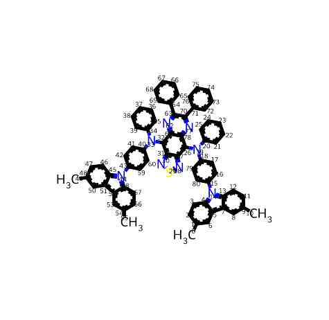 Cc1ccc2c(c1)c1cc(C)ccc1n2-c1ccc(N(c2ccccc2)c2c3nsnc3c(N(c3ccccc3)c3ccc(-n4c5ccc(C)cc5c5cc(C)ccc54)cc3)c3nc(-c4ccccc4)c(-c4ccccc4)nc23)cc1